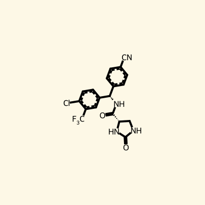 N#Cc1ccc([C@H](NC(=O)[C@@H]2CNC(=O)N2)c2ccc(Cl)c(C(F)(F)F)c2)cc1